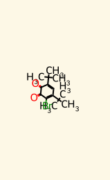 CC(C)(C)C1=CC(C(C)(C)C)=C(Br)C(=O)C1=O